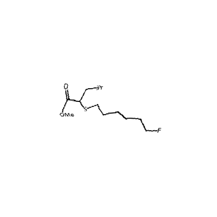 COC(=O)C(CC(C)C)SCCCCCCF